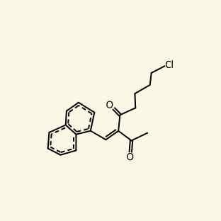 CC(=O)C(=Cc1cccc2ccccc12)C(=O)CCCCCl